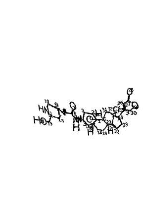 C[C@]12CC[C@H](NC(=O)N3CCNC(CO)C3)C[C@H]1CC[C@H]1C3=CC[C@H](C4=CC(=O)OC4)[C@@]3(C)CC[C@@H]12